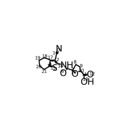 N#Cc1c(NC(=O)C2CCC(C(=O)O)O2)sc2c1CCCC2